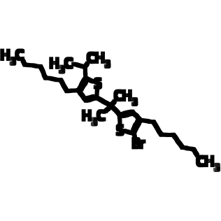 CCCCCCc1cc(C(C)(C)c2cc(CCCCCC)c(C(C)C)s2)sc1Br